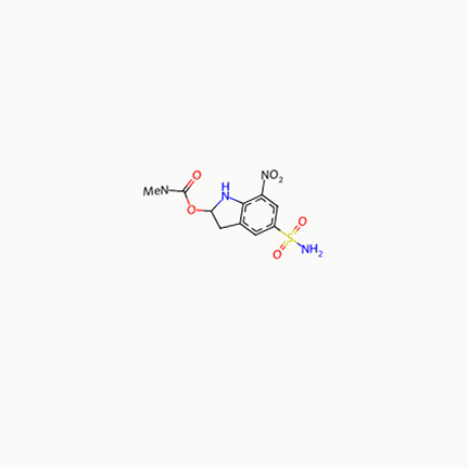 CNC(=O)OC1Cc2cc(S(N)(=O)=O)cc([N+](=O)[O-])c2N1